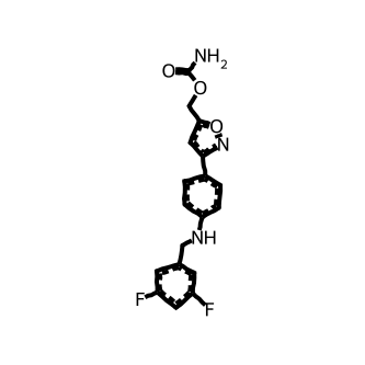 NC(=O)OCc1cc(-c2ccc(NCc3cc(F)cc(F)c3)cc2)no1